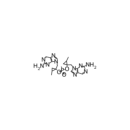 CC1CC1(Cn1cnc2cnc(N)nc21)OP(C)(=O)OC1(Cn2cnc3cnc(N)nc32)CC1C